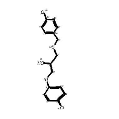 OC(COc1ccc(Cl)cc1)CSCc1ccc(Cl)cc1